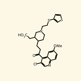 COc1ccc2ncc(Cl)c(C(=O)CCC3CCN(CCSc4ccsc4)CC3CC(=O)O)c2c1